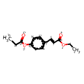 CCOC(=O)/C=C/c1ccc(OC(=O)CC)cc1